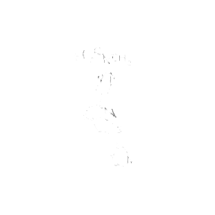 CN(C)c1ncc(-c2ccc3cc(-c4cccnc4)sc3n2)cn1